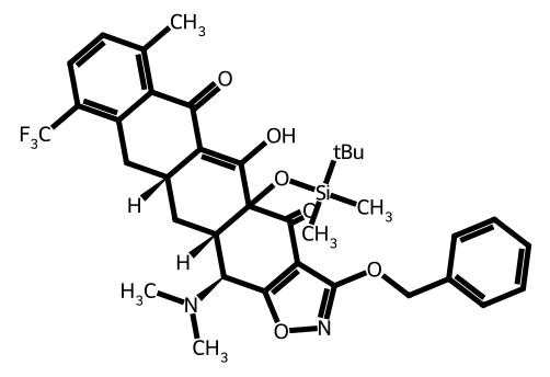 Cc1ccc(C(F)(F)F)c2c1C(=O)C1=C(O)C3(O[Si](C)(C)C(C)(C)C)C(=O)c4c(OCc5ccccc5)noc4[C@@H](N(C)C)[C@@H]3C[C@@H]1C2